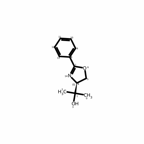 CC(C)(O)[C@@H]1COC(c2ccccc2)=N1